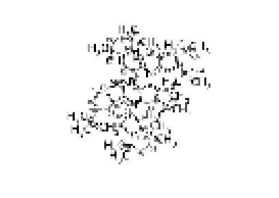 Cc1cc2c(cc1N1c3cc4c(cc3B3c5sc6ccc(C(C)(C)C)cc6c5N(c5ccc6c(c5)C(C)(C)CCC6(C)C)c5cc(C(C)(C)C)cc1c53)C(C)(C)CCC4(C)C)C(C)(C)CCC2(C)C